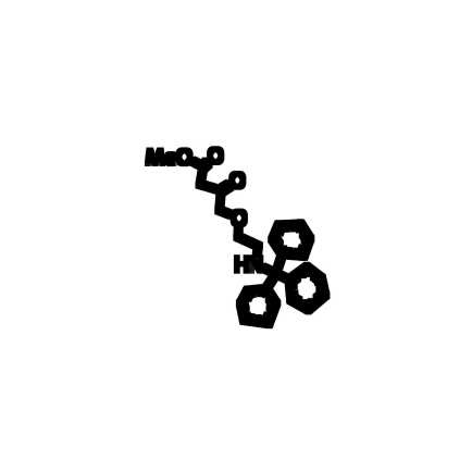 COC(=O)CC(=O)COCCNC(c1ccccc1)(c1ccccc1)c1ccccc1